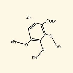 CCCOc1ccc(C(=O)[O-])c(OCCC)c1OCCC.[Zr+]